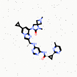 Cc1ccnc([C@H]2C[C@@H]2C(=O)Nc2cc(N[C@H](C)c3cn4cc(C5CC5)cc(N5CC6(CN(C)C6)N(C)C5=O)c4n3)ncn2)n1